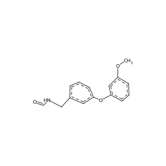 COc1cccc(Oc2cccc(CNC=O)c2)c1